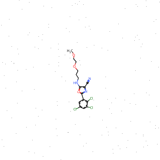 COCCOCCCNc1oc(-c2cc(Cl)cc(Cl)c2Cl)nc1C#N